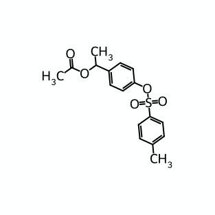 CC(=O)OC(C)c1ccc(OS(=O)(=O)c2ccc(C)cc2)cc1